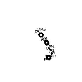 COC(=O)[C@H]1CC[C@@H](S(=O)(=O)c2ccc(NC(=O)c3nnc(Nc4ccc(F)cc4)o3)cc2)CC1